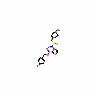 CC(C)(C)c1ccc(COc2nnc([S+]([O-])Cc3ccc(C(C)(C)C)cc3)n3ccnc23)cc1